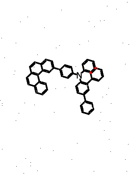 c1ccc(-c2ccc(N(c3ccccc3)c3ccc(-c4ccc5ccc6ccc7ccccc7c6c5c4)cc3)c(-c3ccccc3)c2)cc1